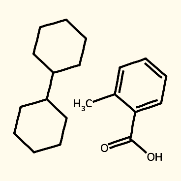 C1CCC(C2CCCCC2)CC1.Cc1ccccc1C(=O)O